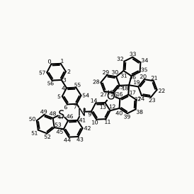 c1ccc(-c2ccc(N(c3ccc4c(c3)oc3c(C5(c6ccccc6)c6ccccc6-c6ccccc65)cccc34)c3cccc4c3sc3ccccc34)cc2)cc1